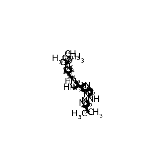 CC(C)c1cnnc(Nc2ccc3ncc(C(C=N)CNCCC4CCN(C(=O)OC(C)(C)C)CC4)cc3n2)c1